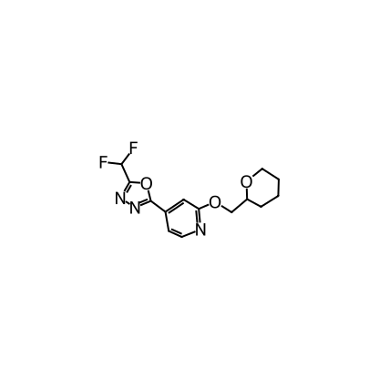 FC(F)c1nnc(-c2ccnc(OCC3CCCCO3)c2)o1